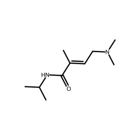 C/C(=C\CN(C)C)C(=O)NC(C)C